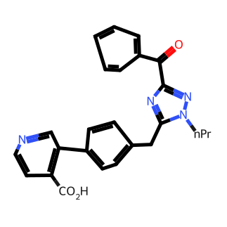 CCCn1nc(C(=O)c2ccccc2)nc1Cc1ccc(-c2cnccc2C(=O)O)cc1